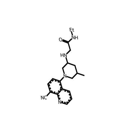 CCNC(=O)CNC1CC(C)CN(c2ccc(C#N)c3ncccc23)C1